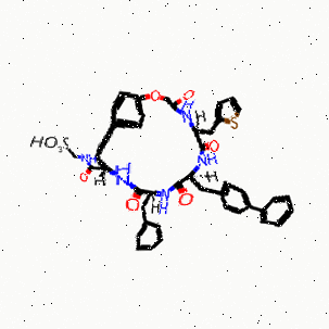 O=C1COc2ccc(cc2)C[C@@H](C(=O)NCS(=O)(=O)O)NC(=O)[C@H](Cc2ccccc2)NC(=O)[C@H](Cc2ccc(-c3ccccc3)cc2)NC(=O)[C@H](Cc2cccs2)N1